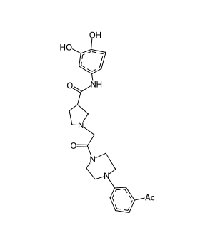 CC(=O)c1cccc(N2CCN(C(=O)CN3CCC(C(=O)Nc4ccc(O)c(O)c4)C3)CC2)c1